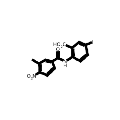 Cc1cc(C(=O)Nc2ccc(I)cc2C(=O)O)ccc1[N+](=O)[O-]